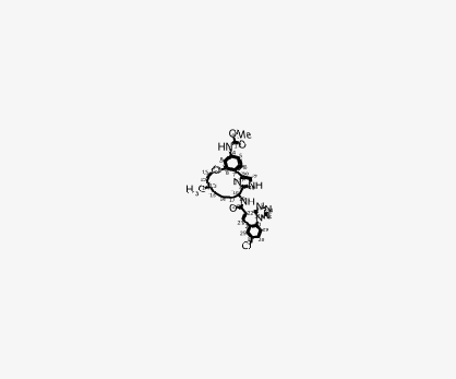 COC(=O)Nc1ccc2c(c1)OCCC(C)CCCC(NC(=O)/C=C/c1cc(Cl)ccc1-n1cnnn1)c1nc-2c[nH]1